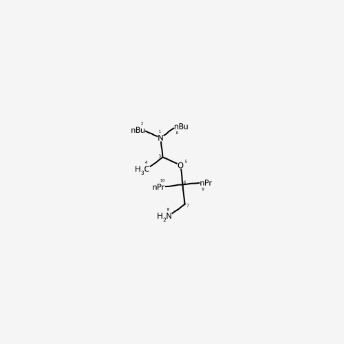 CCCCN(CCCC)C(C)OC(CN)(CCC)CCC